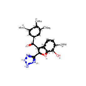 COc1cc(C(=O)c2c(-c3nn[nH]n3)oc3c(O)c(OC)ccc23)cc(OC)c1OC